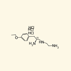 CCOc1ccc(C[C@H](N)CNCCN)cc1.Cl.Cl.Cl